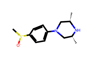 C[C@@H]1CN(c2ccc([S+](C)[O-])cc2)C[C@H](C)N1